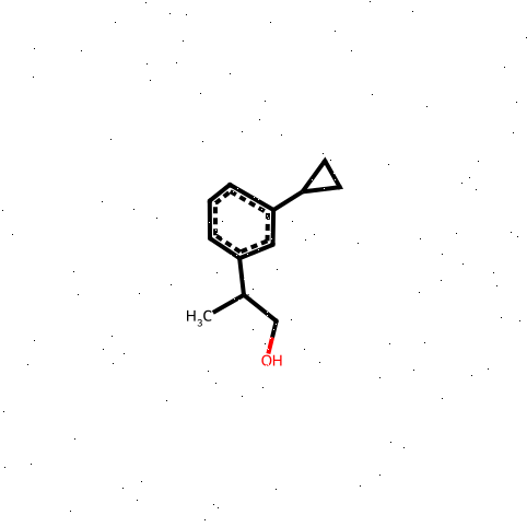 C[C](CO)c1cccc(C2CC2)c1